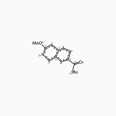 COc1cc2ccc(C(=O)C(C)(C)C)cc2cn1